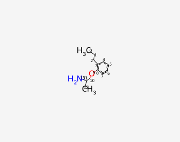 CCCc1ccccc1OCC(C)N